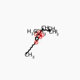 CCCCCCCCCCOc1ccc2c(OC(C)C)c(OCC=C(C)CCC=C(C)C)c(=O)oc2c1